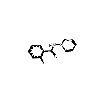 Cc1ccccc1C(=O)NN1C=CC=CC1